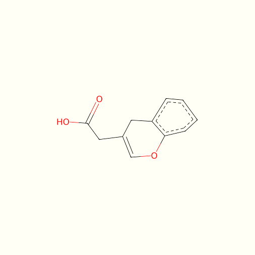 O=C(O)CC1=COc2ccccc2C1